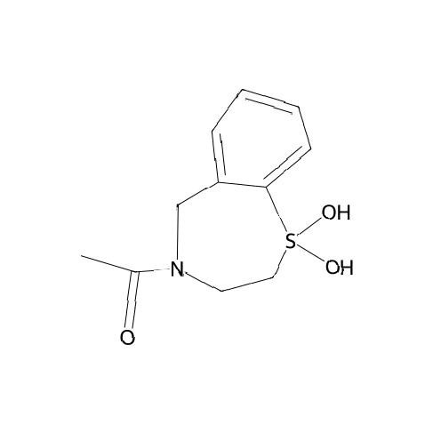 CC(=O)N1CCS(O)(O)c2ccccc2C1